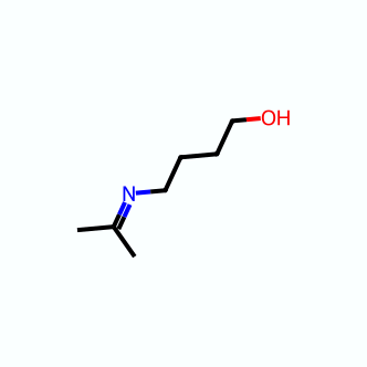 CC(C)=NCCCCO